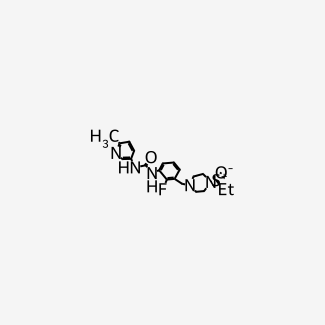 CC[S+]([O-])N1CCN(Cc2cccc(NC(=O)Nc3ccc(C)nc3)c2F)CC1